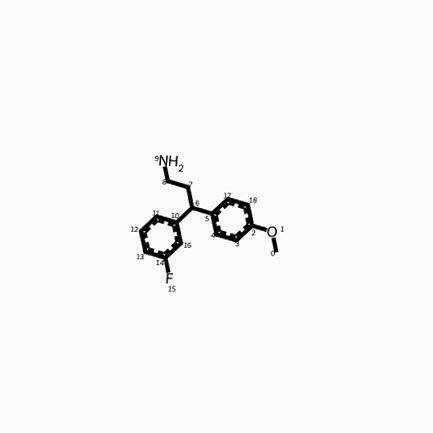 COc1ccc(C(CCN)c2cccc(F)c2)cc1